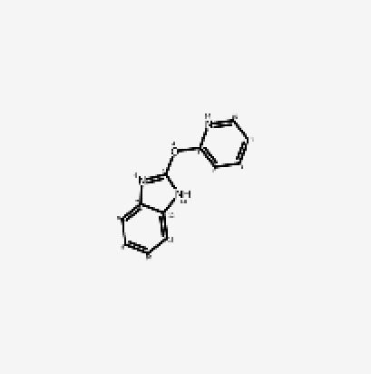 c1ccc(Oc2nc3ccccc3[nH]2)nc1